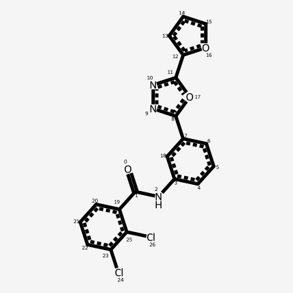 O=C(Nc1cccc(-c2nnc(-c3ccco3)o2)c1)c1cccc(Cl)c1Cl